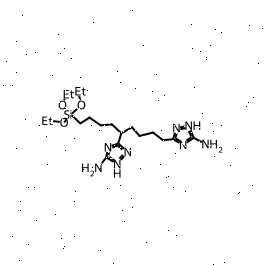 CCO[Si](CCCCC(CCCCc1n[nH]c(N)n1)c1n[nH]c(N)n1)(OCC)OCC